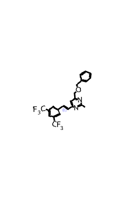 Cc1nc(/C=C/c2cc(C(F)(F)F)cc(C(F)(F)F)c2)cc(COCc2ccccc2)n1